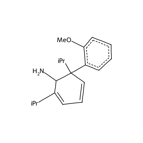 COc1ccccc1C1(C(C)C)C=CC=C(C(C)C)C1N